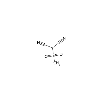 CS(=O)(=O)C(C#N)C#N